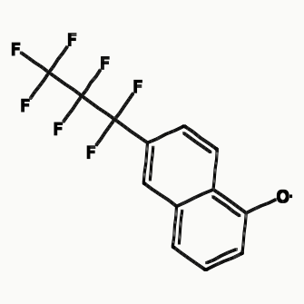 [O]c1cccc2cc(C(F)(F)C(F)(F)C(F)(F)F)ccc12